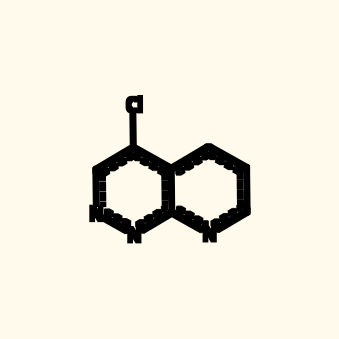 Clc1cnnc2ncccc12